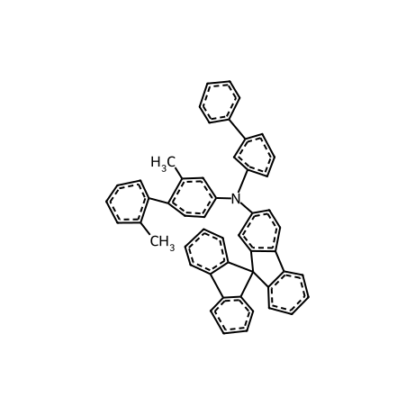 Cc1ccccc1-c1ccc(N(c2cccc(-c3ccccc3)c2)c2ccc3c(c2)C2(c4ccccc4-c4ccccc42)c2ccccc2-3)cc1C